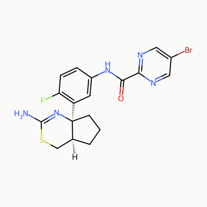 NC1=N[C@@]2(c3cc(NC(=O)c4ncc(Br)cn4)ccc3F)CCC[C@H]2CS1